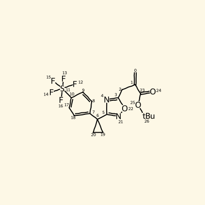 C=C(Cc1nc(C2(c3ccc(S(F)(F)(F)(F)F)cc3)CC2)no1)C(=O)OC(C)(C)C